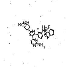 Nc1nccc(-c2sc(N3CCS(O)(O)CC3)nc2-c2cccc(NS(=O)(=O)c3c(F)cccc3F)c2F)n1